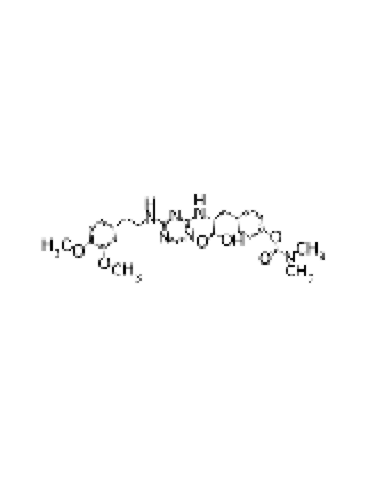 COc1ccc(CCNc2ncnc(N[C@@H](Cc3ccc(OC(=O)N(C)C)cc3)C(=O)O)n2)cc1OC